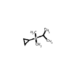 CC(C)[Si](C)(C)C1CC1